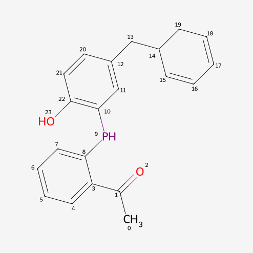 CC(=O)c1ccccc1Pc1cc(CC2C=CC=CC2)ccc1O